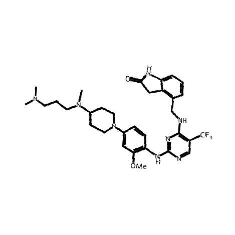 COc1cc(N2CCC(N(C)CCCN(C)C)CC2)ccc1Nc1ncc(C(F)(F)F)c(NCc2cccc3c2CC(=O)N3)n1